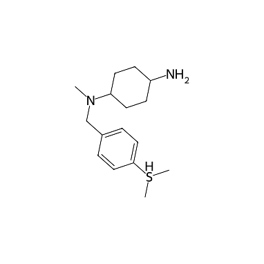 CN(Cc1ccc([SH](C)C)cc1)C1CCC(N)CC1